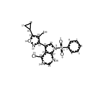 O=S(=O)(c1ccccc1)n1cc(-c2noc(C3CC3)c2I)c2c(Cl)ncnc21